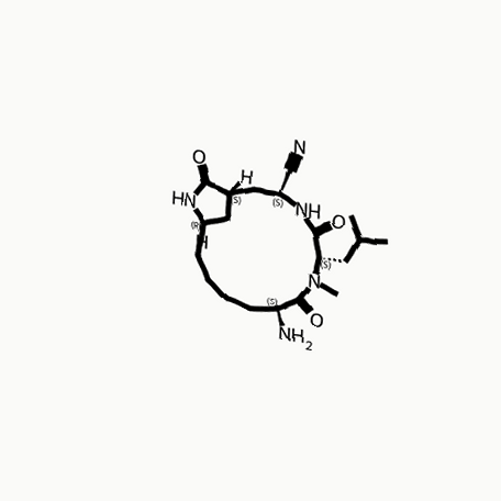 CC(C)C[C@H]1C(=O)N[C@H](C#N)C[C@@H]2C[C@@H](CCCC[C@H](N)C(=O)N1C)NC2=O